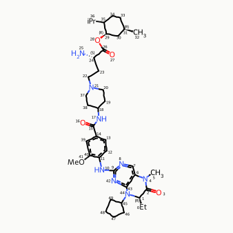 CC[C@@H]1C(=O)N(C)c2cnc(Nc3ccc(C(=O)NC4CCN(CC[C@H](N)C(=O)O[C@@H]5C[C@H](C)CCC5C(C)C)CC4)cc3OC)nc2N1C1CCCC1